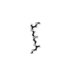 COCC(C)OCCNCCOC(C)COC